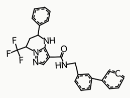 O=C(NCc1cccc(-c2ccccc2)c1)c1cnn2c1NC(c1ccccc1)CC2C(F)(F)F